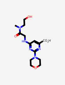 CN(CCO)C(=O)CNc1cc(C(=O)O)nc(N2CCOCC2)n1